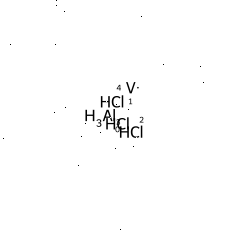 Cl.Cl.Cl.[AlH3].[V]